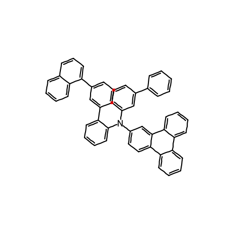 c1ccc(-c2cccc(N(c3ccc4c5ccccc5c5ccccc5c4c3)c3ccccc3-c3cccc(-c4cccc5ccccc45)c3)c2)cc1